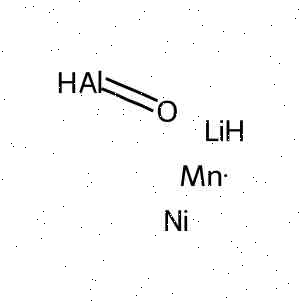 [LiH].[Mn].[Ni].[O]=[AlH]